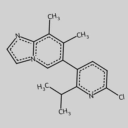 Cc1c(-c2ccc(Cl)nc2C(C)C)cn2ccnc2c1C